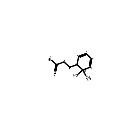 CCC(=O)CCC1C=CC=CC1(C)O